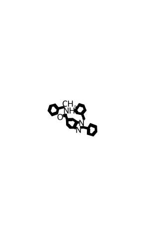 CC(NC(=O)c1ccc2nc(-c3ccccc3)n(Cc3ccccc3)c2c1)c1ccccc1